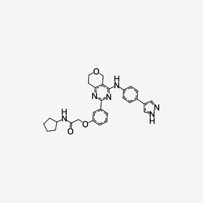 O=C(COc1cccc(-c2nc3c(c(Nc4ccc(-c5cn[nH]c5)cc4)n2)COCC3)c1)NC1CCCC1